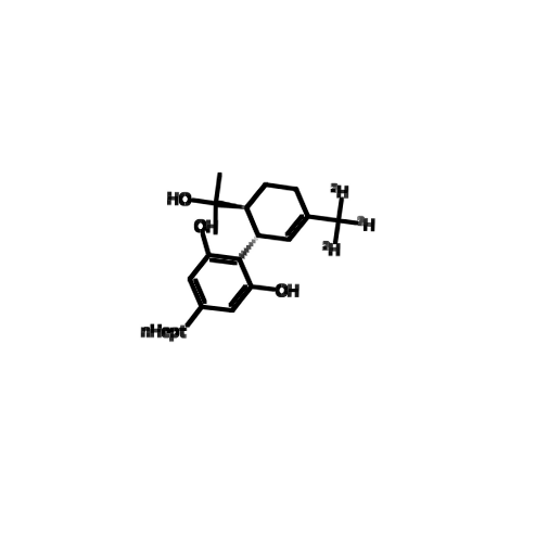 [2H]C([2H])([2H])C1=C[C@H](c2c(O)cc(CCCCCCC)cc2O)[C@@H](C(C)(C)O)CC1